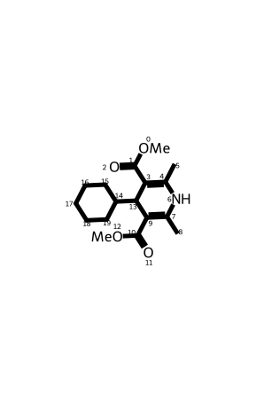 COC(=O)C1=C(C)NC(C)=C(C(=O)OC)C1C1CCCCC1